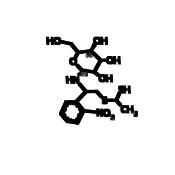 CC(S)SCC(N[C@@H]1OC(CO)[C@@H](O)C(O)C1O)c1ccccc1[N+](=O)[O-]